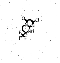 C[C@]1(C(F)(F)F)CCn2c(nc(Cl)cc2=O)N1